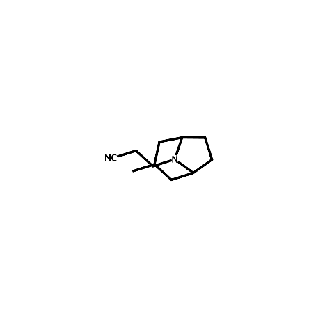 CC1CC2CCC(C1)N2CCC#N